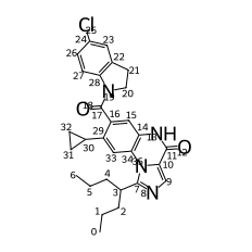 CCCC(CCC)c1ncc2c(=O)[nH]c3cc(C(=O)N4CCc5cc(Cl)ccc54)c(C4CC4)cc3n12